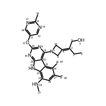 CCC(CO)=C1CN(c2nc(Oc3cnc(C)nc3)nc3[nH]c4c(NC)cc(F)c(F)c4c23)C1